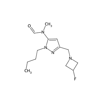 CCCCn1nc(CN2CC(F)C2)cc1N(C)C=O